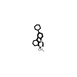 C[n+]1ccn2c3c(c4cc(C5CCCCC5)ccc42)CCCc31